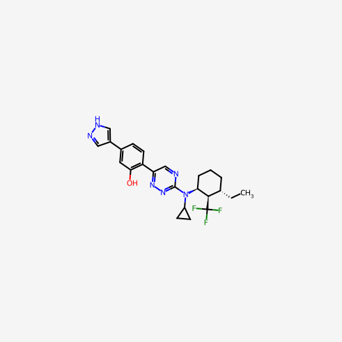 CC[C@H]1CCC[C@H](N(c2ncc(-c3ccc(-c4cn[nH]c4)cc3O)nn2)C2CC2)[C@@H]1C(F)(F)F